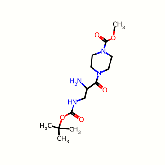 COC(=O)N1CCN(C(=O)C(N)CNC(=O)OC(C)(C)C)CC1